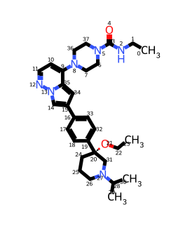 CCNC(=O)N1CCN(c2ccnn3cc(-c4ccc([C@]5(OCC)CCCN(C(C)C)C5)cc4)cc23)CC1